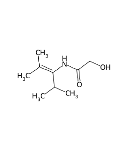 CC(C)=C(NC(=O)CO)C(C)C